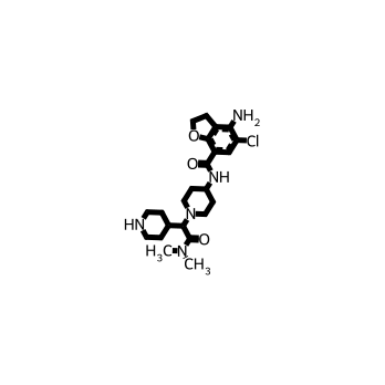 CN(C)C(=O)C(C1CCNCC1)N1CCC(NC(=O)c2cc(Cl)c(N)c3c2OCC3)CC1